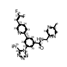 Cc1cnc(CNC(=O)c2cc(-c3ccc(C=C(F)F)cn3)cc(-n3nnnc3C(C)C)c2)cn1